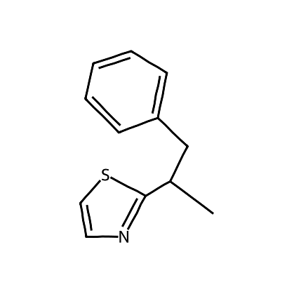 CC(Cc1ccccc1)c1nccs1